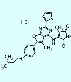 CC1=C(Nc2nc(-c3cccs3)nc3oc(-c4ccc(OCCN(C)C)cc4)c(C)c23)C(=O)NC1=O.Cl